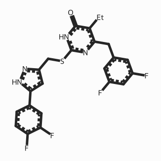 CCc1c(Cc2cc(F)cc(F)c2)nc(SCc2cc(-c3ccc(F)c(F)c3)[nH]n2)[nH]c1=O